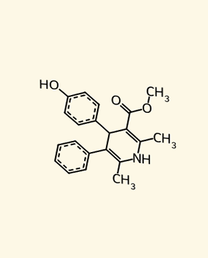 COC(=O)C1=C(C)NC(C)=C(c2ccccc2)C1c1ccc(O)cc1